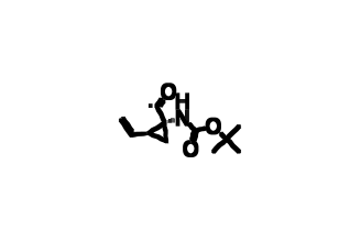 C=C[C@@H]1C[C@@]1([C]=O)NC(=O)OC(C)(C)C